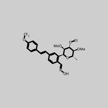 CCO[C@@H]1[C@@H](OC)[C@H](C)O[C@@H](c2cc(/C=C/c3ccc(OC(F)(F)F)cc3)ccc2C=NO)[C@H]1OC